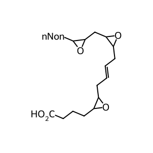 CCCCCCCCCC1OC1CC1OC1CC=CCC1OC1CCCC(=O)O